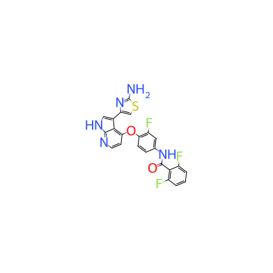 Nc1nc(-c2c[nH]c3nccc(Oc4ccc(NC(=O)c5c(F)cccc5F)cc4F)c23)cs1